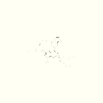 CCCN(C)c1nc(N(CCOC)CCOC)nc2c(N3CCn4ncnc4C3)nc(N(CCOC)CCOC)nc12